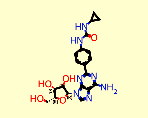 Nc1nc(-c2ccc(NC(=O)NC3CC3)cc2)nc2c1ncn2[C@@H]1O[C@H](CO)[C@@H](O)[C@H]1O